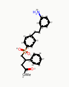 COC(=O)CC(CS(=O)(=O)c1ccc(CCc2cccc(N)c2)cc1)c1ccccc1